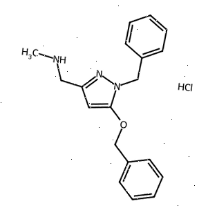 CNCc1cc(OCc2ccccc2)n(Cc2ccccc2)n1.Cl